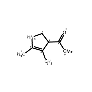 COC(=O)C1CNC(C)=C1C